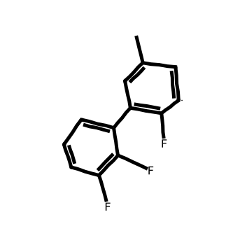 Cc1c[c]c(F)c(-c2cccc(F)c2F)c1